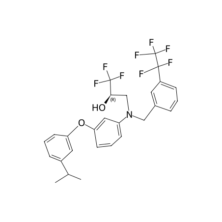 CC(C)c1cccc(Oc2cccc(N(Cc3cccc(C(F)(F)C(F)(F)F)c3)C[C@@H](O)C(F)(F)F)c2)c1